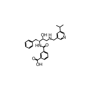 CC(C)c1cncc(CNC[C@H](O)[C@H](Cc2ccccc2)NC(=O)c2cccc(C(=O)O)c2)c1